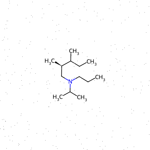 CCCN(C[C@@H](C)C(C)CC)C(C)C